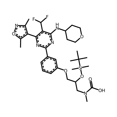 Cc1noc(C)c1-c1nc(-c2cccc(OCC(CN(C)C(=O)O)O[Si](C)(C)C(C)(C)C)c2)nc(NC2CCOCC2)c1C(F)F